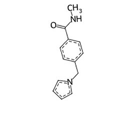 CNC(=O)c1ccc(Cn2cccc2)cc1